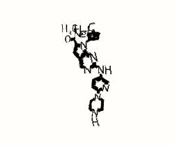 C[C@@H]1C2CC1(n1c(C(=O)N(C)C)cc3cnc(Nc4ccc(N5CCNCC5)nc4)nc31)C2